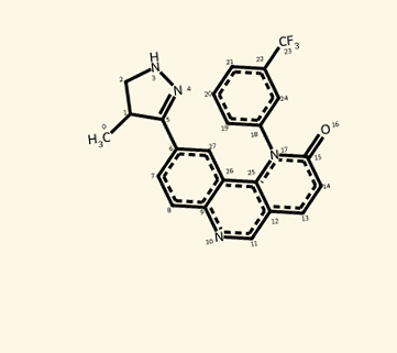 CC1CNN=C1c1ccc2ncc3ccc(=O)n(-c4cccc(C(F)(F)F)c4)c3c2c1